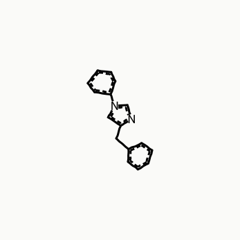 c1ccc(Cc2cn(-c3ccccc3)cn2)cc1